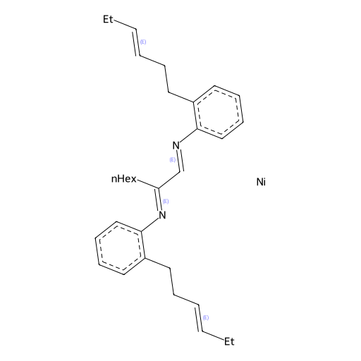 CC/C=C/CCc1ccccc1/N=C/C(CCCCCC)=N/c1ccccc1CC/C=C/CC.[Ni]